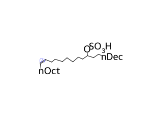 CCCCCCCC/C=C\CCCCCCCC(CCCCCCCCCCCC)OS(=O)(=O)O